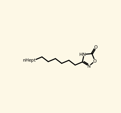 CCCCCCCCCCCCCc1noc(=O)[nH]1